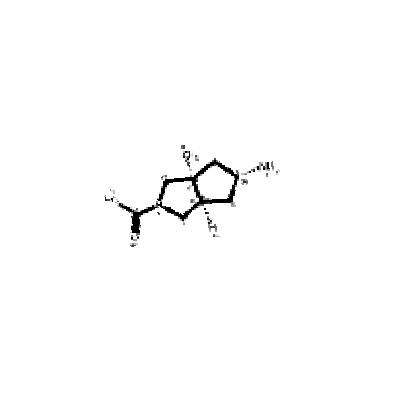 C[C@]12C[C@H](N)C[C@H]1CN(C(=O)O)C2